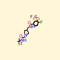 CCC(C)(C)NC(=O)CN1CCC(CNC(=O)c2ccc(F)c(OC(F)(F)F)c2)CC1